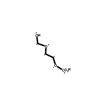 O=C(O)O[CH]COCO